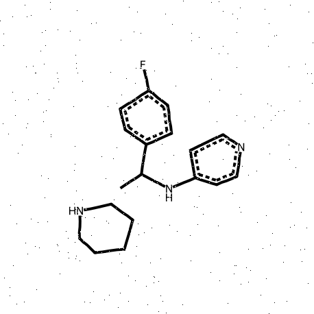 C1CCNCC1.CC(Nc1ccncc1)c1ccc(F)cc1